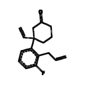 C=CCc1c(F)cccc1C1(C=C)CCCC(=O)C1